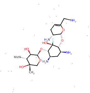 CN[C@@H]1[C@@H](O)[C@@H](O[C@H]2[C@H](N)C[C@H](N)[C@@H](O[C@H]3OC(CN)=CC[C@H]3N)[C@@]2(O)F)OC[C@]1(C)O